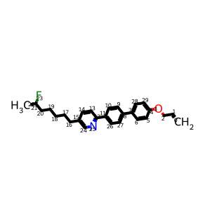 C=CCOc1ccc(-c2ccc(-c3ccc(CCCCCC(C)F)cn3)cc2)cc1